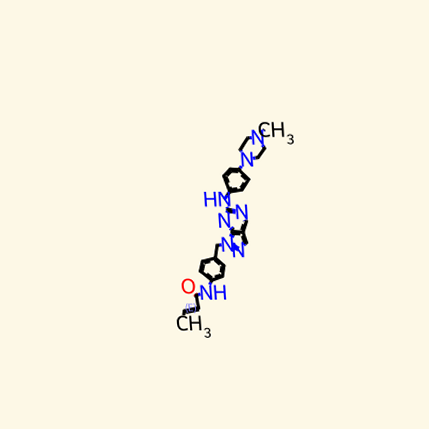 C/C=C/C(=O)Nc1ccc(Cn2ncc3cnc(Nc4ccc(N5CCN(C)CC5)cc4)nc32)cc1